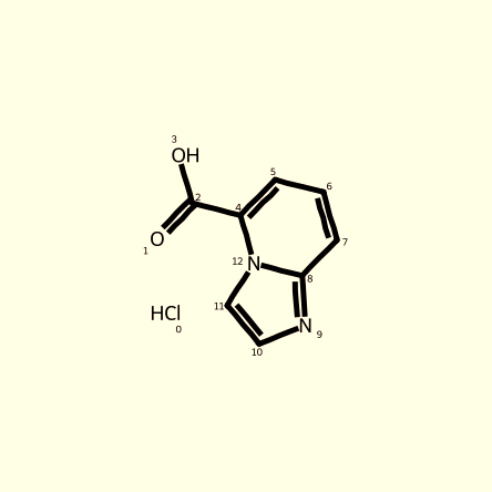 Cl.O=C(O)c1cccc2nccn12